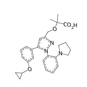 CC(C)(OCc1cc(-c2cccc(OC3CC3)c2)n(-c2ccccc2N2CCCC2)n1)C(=O)O